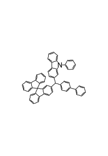 c1ccc(-c2ccc(C(c3ccc4c(c3)C3(c5ccccc5-c5ccccc53)c3ccccc3-4)c3ccc4c5ccccc5n(-c5ccccc5)c4c3)cc2)cc1